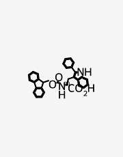 O=C(N[C@@H](Cc1c(-c2ccccc2)[nH]c2ccccc12)C(=O)O)OCC1c2ccccc2-c2ccccc21